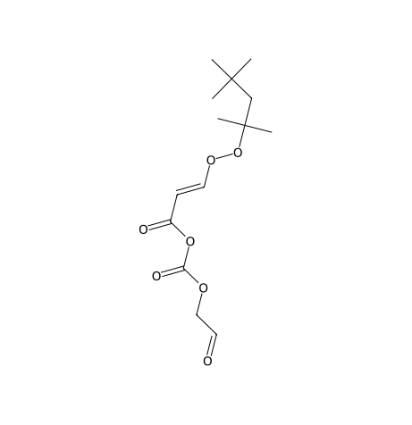 CC(C)(C)CC(C)(C)OOC=CC(=O)OC(=O)OCC=O